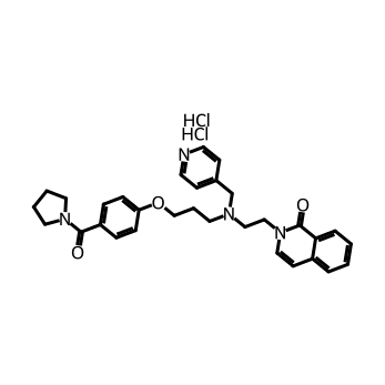 Cl.Cl.O=C(c1ccc(OCCCN(CCn2ccc3ccccc3c2=O)Cc2ccncc2)cc1)N1CCCC1